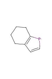 C1=CC2=C(CCCC2)[P]1